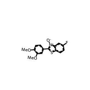 COc1ccc(-c2sc3ccc(F)cc3[n+]2[O-])cc1OC